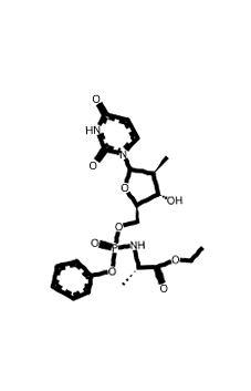 CCOC(=O)[C@H](C)NP(=O)(OC[C@H]1OC(n2ccc(=O)[nH]c2=O)[C@@H](C)[C@@H]1O)Oc1ccccc1